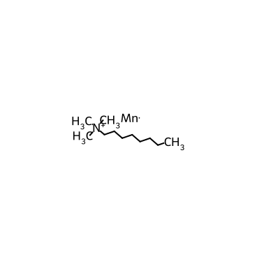 CCCCCCCC[N+](C)(C)C.[Mn]